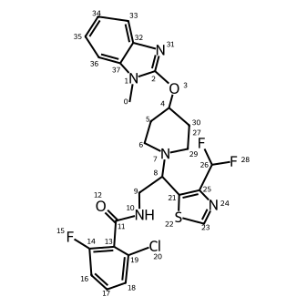 Cn1c(OC2CCN(C(CNC(=O)c3c(F)cccc3Cl)c3scnc3C(F)F)CC2)nc2ccccc21